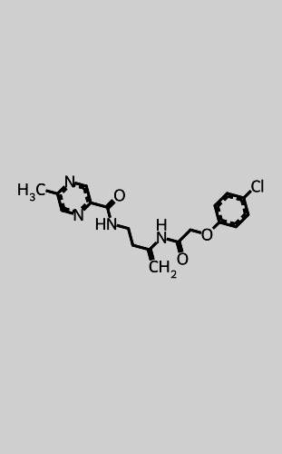 C=C(CCNC(=O)c1cnc(C)cn1)NC(=O)COc1ccc(Cl)cc1